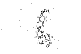 COc1ccc(CNc2ccnc(-n3ncc(C=O)c3C)n2)cc1